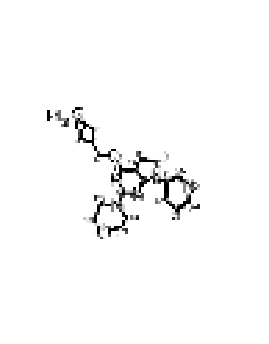 CN1CC(COc2nc(N3CCOCC3)nc3c2CCN3c2cccnc2)C1